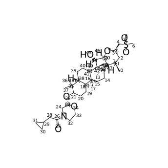 C[C@@H]1C[C@H](CS(C)(=O)=O)O[C@H]2[C@H]1[C@@]1(C)CC[C@@]34C[C@@]35CCC(O[C@H]3CN(C(=O)CC6CC6)CCO3)C(C)(C)[C@@H]5CC[C@H]4[C@]1(C)[C@H]2O